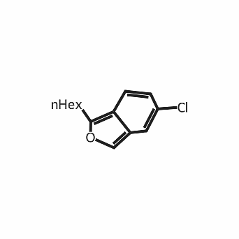 [CH2]CCCCCc1occ2cc(Cl)ccc12